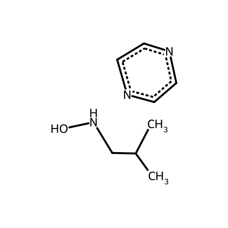 CC(C)CNO.c1cnccn1